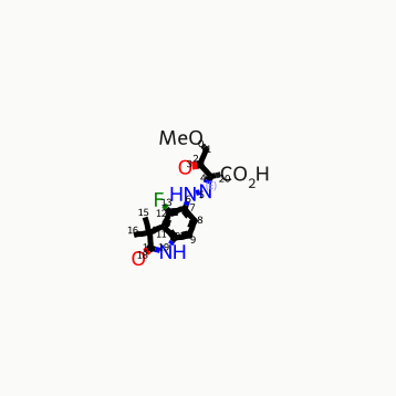 COCC(=O)/C(=N\Nc1ccc2c(c1F)C(C)(C)C(=O)N2)C(=O)O